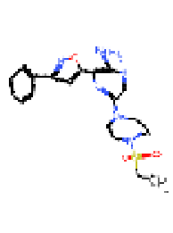 CCS(=O)(=O)N1CCN(c2cnc(N)c(-c3cc(-c4ccccc4)no3)n2)CC1